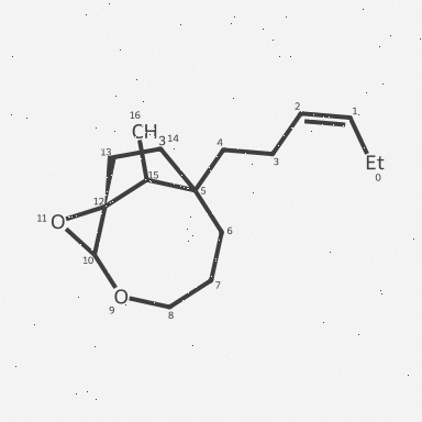 CC/C=C\CCC12CCCOC3O[C@]3(CC1)C2C